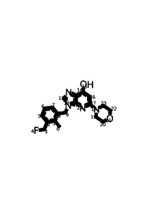 Cc1c(CF)cccc1Cn1cnc2c(O)cc(N3CCOCC3)nc21